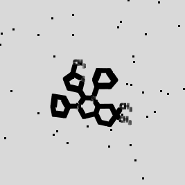 Cc1ccc(C2N(c3ccccc3)CC3CCC(C)(C)CC3N2c2ccccc2)s1